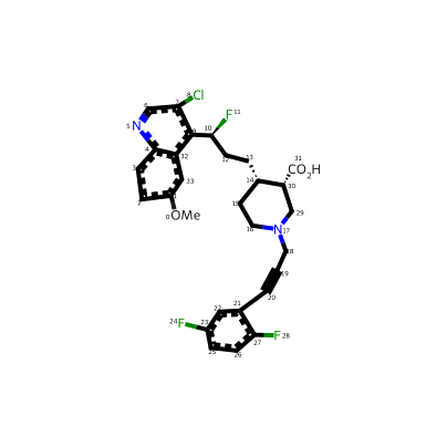 COc1ccc2ncc(Cl)c([C@@H](F)CC[C@H]3CCN(CC#Cc4cc(F)ccc4F)C[C@H]3C(=O)O)c2c1